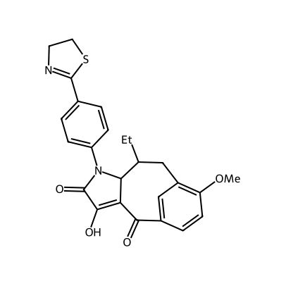 CCC1Cc2cc(ccc2OC)C(=O)C2=C(O)C(=O)N(c3ccc(C4=NCCS4)cc3)C21